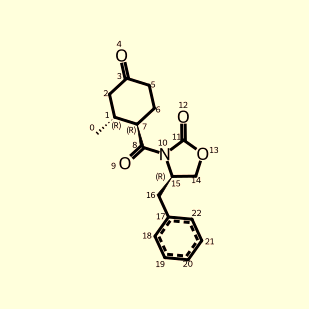 C[C@@H]1CC(=O)CC[C@H]1C(=O)N1C(=O)OC[C@H]1Cc1ccccc1